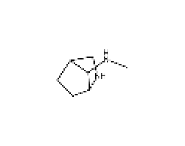 CNC1C2CCC1NC2